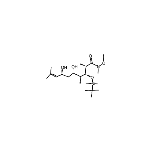 CON(C)C(=O)[C@H](C)[C@@H](O[Si](C)(C)C(C)(C)C)[C@@H](C)[C@@H](O)C[C@H](O)C=C(C)C